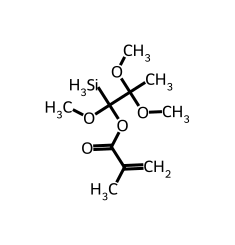 C=C(C)C(=O)OC([SiH3])(OC)C(C)(OC)OC